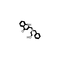 O=c1cc(CN(CCO)Cc2ccccc2)[nH]c2ccccc12